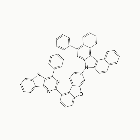 c1ccc(-c2cc3c(c4ccccc24)c2c4ccccc4ccc2n3-c2ccc3c(c2)oc2cccc(-c4nc(-c5ccccc5)c5sc6ccccc6c5n4)c23)cc1